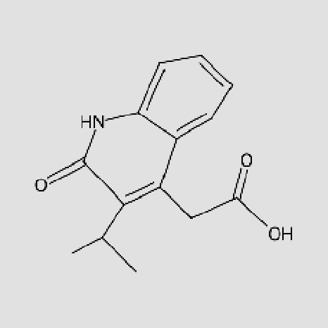 CC(C)c1c(CC(=O)O)c2ccccc2[nH]c1=O